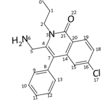 CCCn1c(CN)c(-c2ccccc2)c2cc(Cl)ccc2c1=O